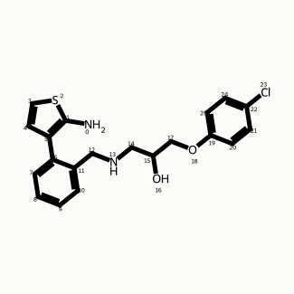 Nc1sccc1-c1ccccc1CNCC(O)COc1ccc(Cl)cc1